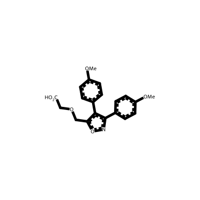 COc1ccc(-c2noc(COCC(=O)O)c2-c2ccc(OC)cc2)cc1